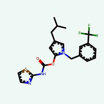 CC(C)Cc1cc(OC(=O)Nc2nccs2)n(Cc2cccc(C(F)(F)F)c2)c1